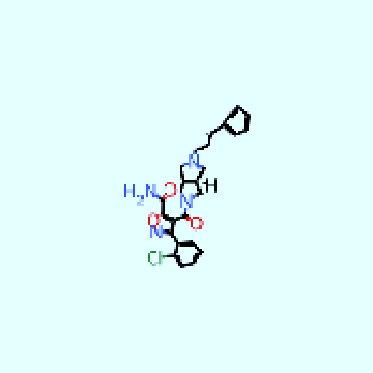 NC(=O)c1onc(-c2ccccc2Cl)c1C(=O)N1CC2CN(CC[CH]c3ccccc3)C[C@H]2C1